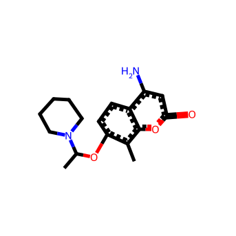 Cc1c(OC(C)N2CCCCC2)ccc2c(N)cc(=O)oc12